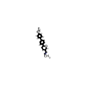 C/C=C/C1CCC(c2ccc(-c3ccc(OCF)cc3)cc2)OC1